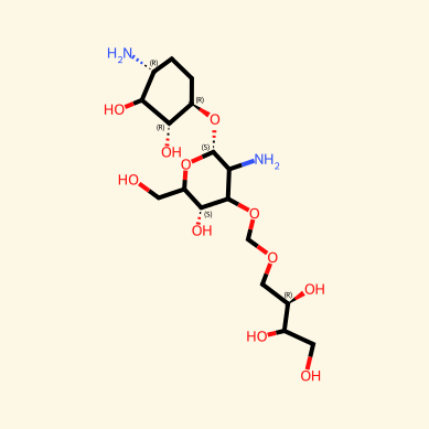 NC1C(OCOC[C@@H](O)C(O)CO)[C@H](O)C(CO)O[C@@H]1O[C@@H]1CC[C@@H](N)C(O)[C@H]1O